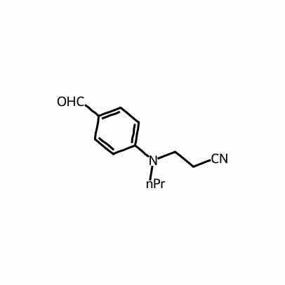 CCCN(CCC#N)c1ccc(C=O)cc1